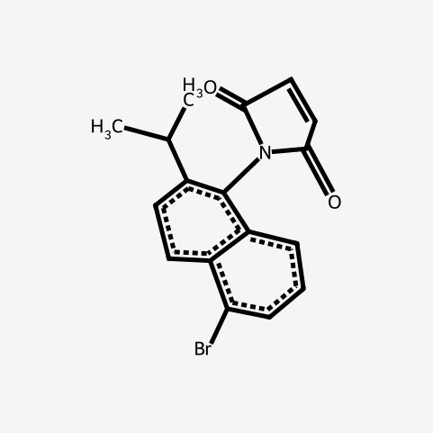 CC(C)c1ccc2c(Br)cccc2c1N1C(=O)C=CC1=O